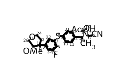 COC1(c2cc(F)cc(Sc3ccc(C(C)[N+](O)(CC#N)C(C)=O)cc3)c2)CCOCC1